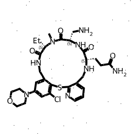 CC[C@H]1C(=O)NCc2cc(N3CCOCC3)cc(Cl)c2Sc2ncccc2CN[C@@H](CCC(N)=O)C(=O)N[C@@H](CN)C(=O)N1C